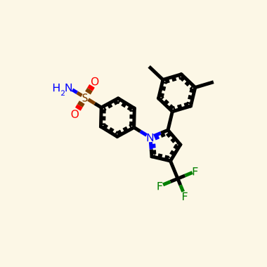 Cc1cc(C)cc(-c2cc(C(F)(F)F)cn2-c2ccc(S(N)(=O)=O)cc2)c1